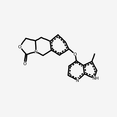 Cc1c[nH]c2nccc(Oc3ccc4c(c3)CN3C(=O)OCC3C4)c12